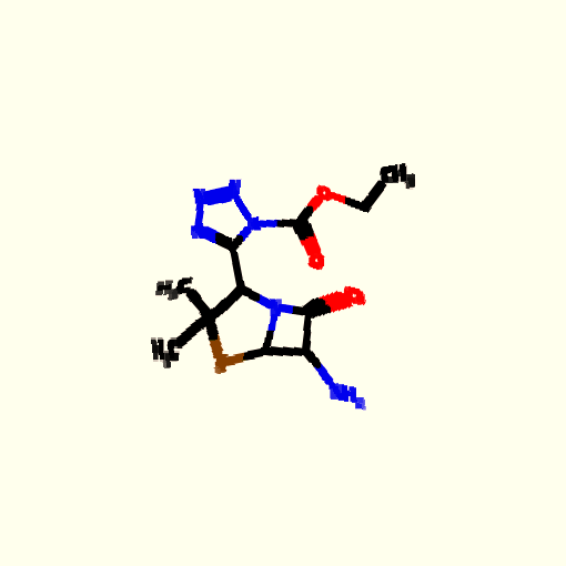 CCOC(=O)n1nnnc1C1N2C(=O)C(N)C2SC1(C)C